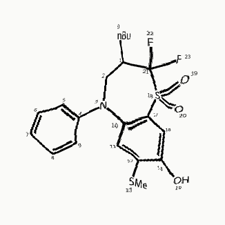 CCCCC1CN(c2ccccc2)c2cc(SC)c(O)cc2S(=O)(=O)C1(F)F